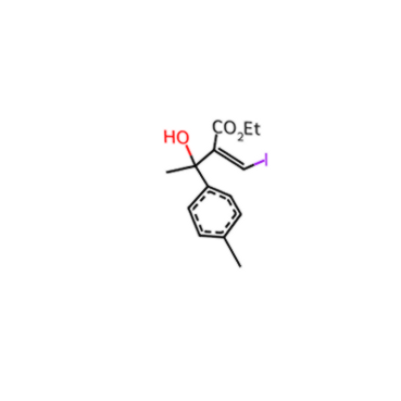 CCOC(=O)C(=CI)C(C)(O)c1ccc(C)cc1